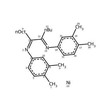 CCCCCCCCC(=Nc1ccc(C)c(C)c1)C(CCCC)=Nc1ccc(C)c(C)c1.[Ni]